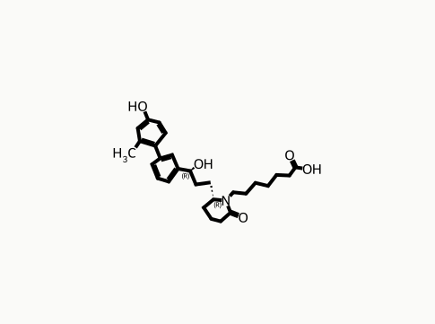 Cc1cc(O)ccc1-c1cccc([C@H](O)CC[C@H]2CCCC(=O)N2CCCCCCC(=O)O)c1